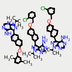 CC(C)n1nc(-c2ccc3cc(OCc4cccc(Cl)c4)ccc3c2)c2c(N)ncnc21.CC(C)n1nc(-c2ccc3cc(OCc4ccccc4Cl)ccc3c2)c2c(N)ncnc21.Cc1ccc(C)c(COc2ccc3cc(-c4nn(C(C)C)c5ncnc(N)c45)ccc3c2)c1